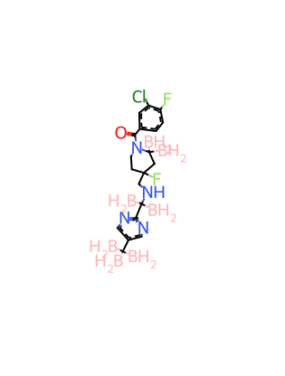 BC(B)(B)c1cnc(C(B)(B)NCC2(F)CCN(C(=O)c3ccc(F)c(Cl)c3)C(B)(B)C2)nc1